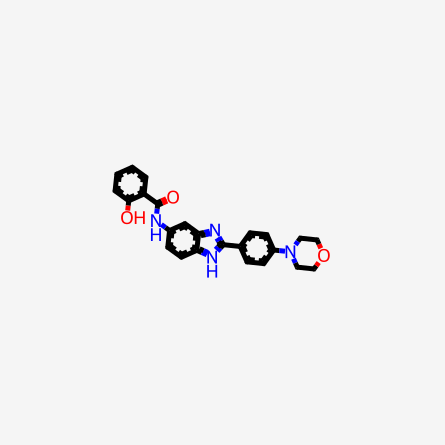 O=C(Nc1ccc2[nH]c(-c3ccc(N4CCOCC4)cc3)nc2c1)c1ccccc1O